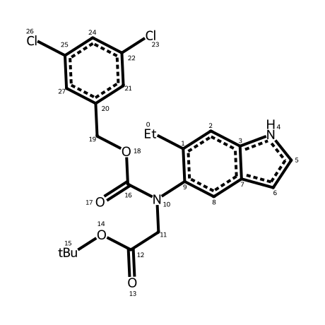 CCc1cc2[nH]ccc2cc1N(CC(=O)OC(C)(C)C)C(=O)OCc1cc(Cl)cc(Cl)c1